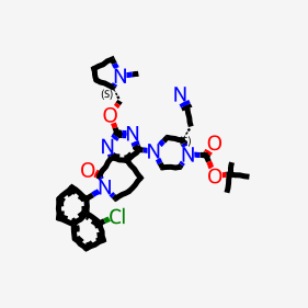 CN1CCC[C@H]1COc1nc2c(c(N3CCN(C(=O)OC(C)(C)C)[C@@H](CC#N)C3)n1)CCCN(c1cccc3cccc(Cl)c13)C2=O